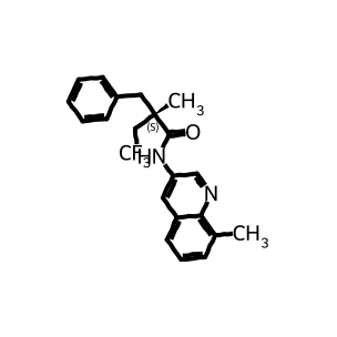 Cc1cccc2cc(NC(=O)[C@@](C)(Cc3ccccc3)CC(F)(F)F)cnc12